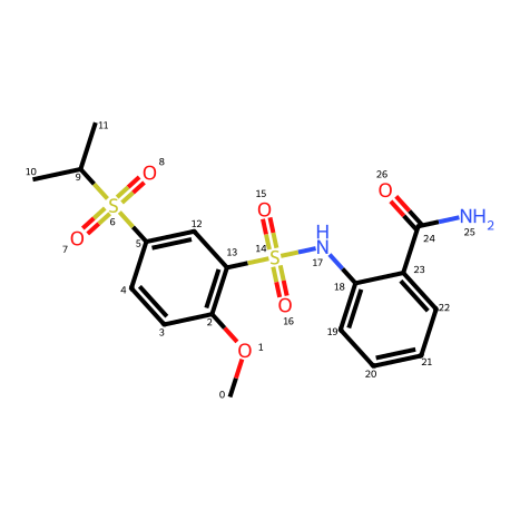 COc1ccc(S(=O)(=O)C(C)C)cc1S(=O)(=O)Nc1ccccc1C(N)=O